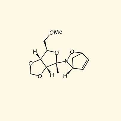 COC[C@H]1O[C@](C)(N2OC3C=C[C@H]2C3)[C@@H]2OCO[C@@H]21